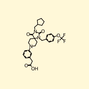 O=C(O)Cc1cccc(N2CCC3(CC2)C(=O)N(CC2CCCC2)C(=O)N3Cc2ccc(OC(F)(F)F)cc2)c1